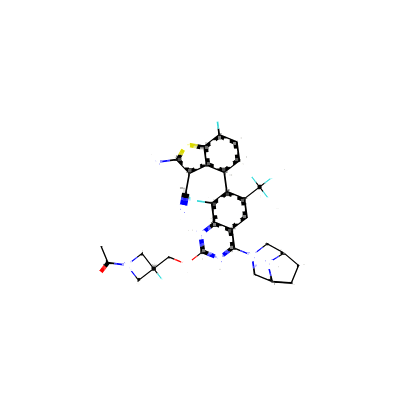 CC(=O)N1CC(F)(COc2nc(N3CC4CCC(C3)N4)c3cc(C(F)(F)F)c(-c4ccc(F)c5sc(N)c(C#N)c45)c(F)c3n2)C1